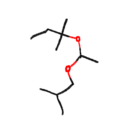 CCC(C)(C)O[C](C)OCC(C)C